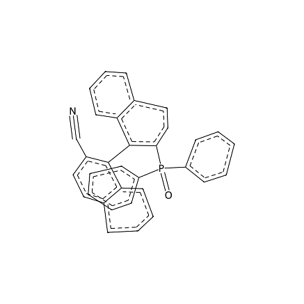 N#Cc1ccc2ccccc2c1-c1c(P(=O)(c2ccccc2)c2ccccc2)ccc2ccccc12